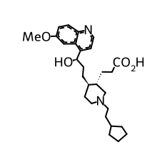 COc1ccc2nccc([C@H](O)CC[C@@H]3CCN(CCC4CCCC4)C[C@H]3CCC(=O)O)c2c1